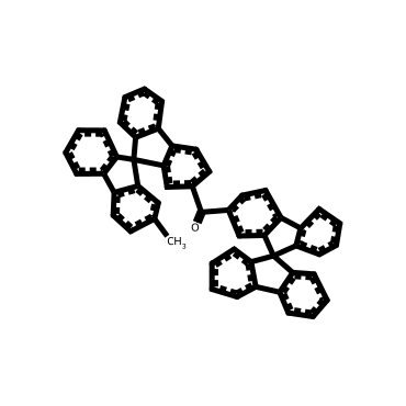 Cc1ccc2c(c1)C1(c3ccccc3-2)c2ccccc2-c2ccc(C(=O)c3ccc4c(c3)C3(c5ccccc5-c5ccccc53)c3ccccc3-4)cc21